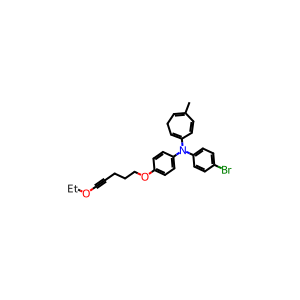 CCOC#CCCCOc1ccc(N(C2=CCC=C(C)C=C2)c2ccc(Br)cc2)cc1